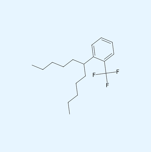 CCCCCC(CCCCC)c1ccccc1C(F)(F)F